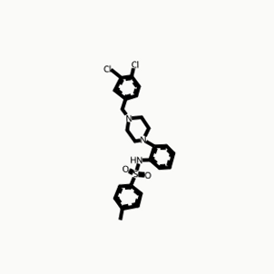 Cc1ccc(S(=O)(=O)Nc2ccccc2N2CCN(Cc3ccc(Cl)c(Cl)c3)CC2)cc1